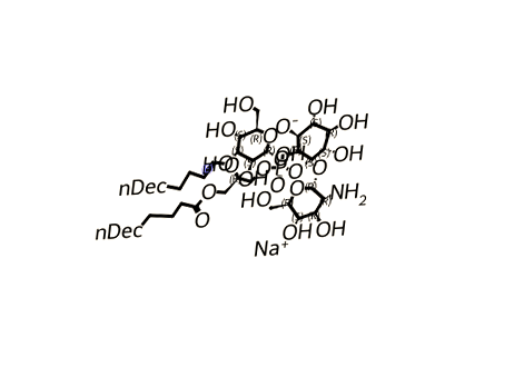 CCCCCCCCCCCC/C=C/O[C@H](COC(=O)CCCCCCCCCCCCC)COP(=O)(O)O[C@@]1(O[C@H]2O[C@H](CO)[C@@H](O)[C@H](O)[C@H]2N)[C@@H](O)[C@H](O)[C@@H](O)[C@H]([O-])[C@@H]1O[C@H]1O[C@H](CO)[C@@H](O)[C@H](O)[C@@H]1O.[Na+]